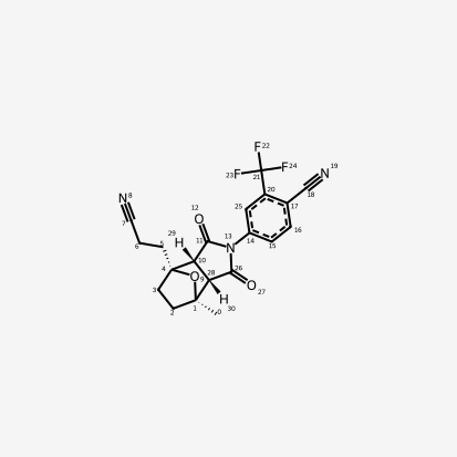 C[C@]12CC[C@](CCC#N)(O1)[C@@H]1C(=O)N(c3ccc(C#N)c(C(F)(F)F)c3)C(=O)[C@@H]12